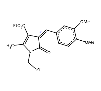 CCOC(=O)C1=C(C)N(CC(C)C)C(=O)/C1=C\c1ccc(OC)c(OC)c1